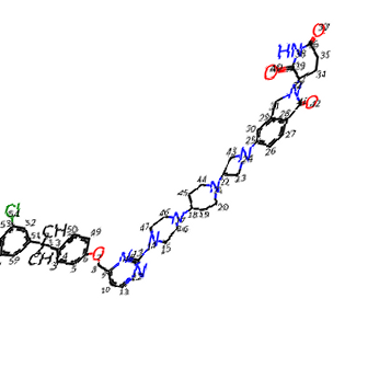 CC(C)(c1ccc(OCc2ccnc(N3CCN(C4CCN(C5CN(c6ccc7c(c6)CN(C6CCC(=O)NC6=O)C7=O)C5)CC4)CC3)n2)cc1)c1cc(Cl)cc(C#N)c1